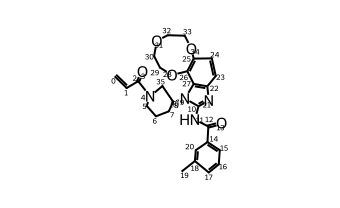 C=CC(=O)N1CCC[C@@H](n2c(NC(=O)c3cccc(C)c3)nc3ccc4c(c32)OCCOCCO4)C1